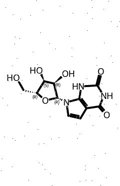 O=c1[nH]c(=O)c2ccn([C@@H]3O[C@H](CO)[C@@H](O)[C@H]3O)c2[nH]1